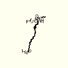 CCCCC[C@H](NC(=O)CCCCCCCCCCCCCCCCC(=O)O)C(N)=O